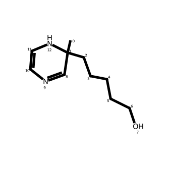 CC1(CCCCCO)C=NC=CN1